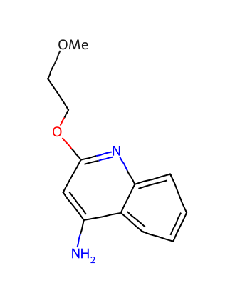 COCCOc1cc(N)c2ccccc2n1